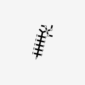 CO[Si](OC)(OC)C(C)C(F)(F)C(F)(F)C(F)(F)C(F)(F)C(F)(F)F